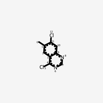 Cc1cc2c(Cl)ncnc2cc1Cl